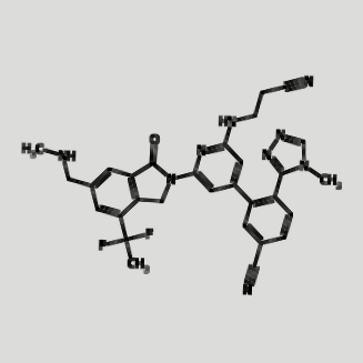 CNCc1cc2c(c(C(C)(F)F)c1)CN(c1cc(-c3cc(C#N)ccc3-c3nncn3C)cc(NCCC#N)n1)C2=O